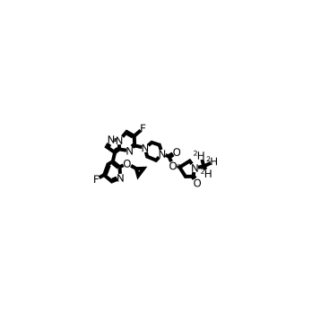 [2H]C([2H])([2H])N1C[C@@H](OC(=O)N2CCN(c3nc4c(-c5cc(F)cnc5OC5CC5)cnn4cc3F)CC2)CC1=O